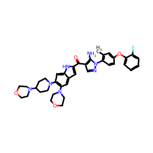 Cc1cc(Oc2ccccc2F)ccc1-n1ncc(C(=O)c2cc3cc(N4CCOCC4)c(N4CCC(N5CCOCC5)CC4)cc3[nH]2)c1N